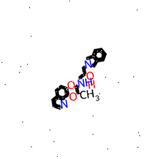 C[C@H](OC1=CCCc2cccnc21)C(=O)NCC(O)CN1Cc2ccccc2C1